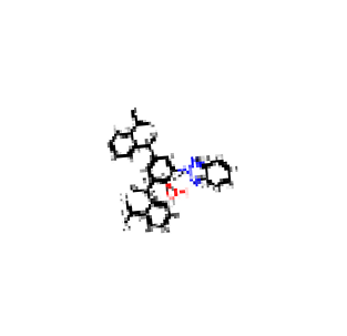 CC(C)c1ccccc1C(C)c1cc(C(C)c2ccccc2C(C)C)c(O)c(-n2nc3ccccc3n2)c1